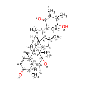 C=C(C(=O)[C@H](OC(C)=O)[C@@H](C)[C@H]1[C@@H](OC(C)=O)C[C@@]2(C)[C@@H]3[C@H]4O[C@H]4[C@H]4[C@H](C)C(=O)C=C[C@@]45C[C@@]35CC[C@]12C)[C@@H](C)CO